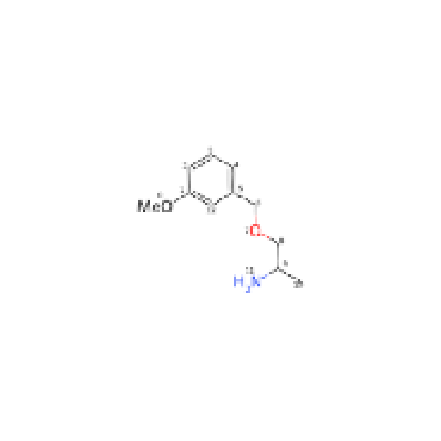 COc1cccc(COCC(C)N)c1